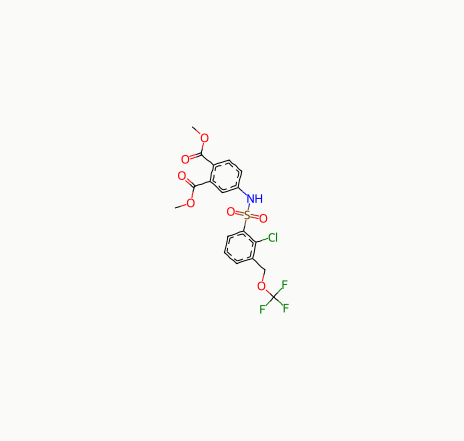 COC(=O)c1ccc(NS(=O)(=O)c2cccc(COC(F)(F)F)c2Cl)cc1C(=O)OC